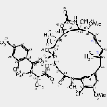 COc1cc2cc(c1Cl)N(C)C(=O)C[C@H](OC(=O)[C@H](C)N(C)C(=O)c1ccc([N+](=O)[O-])cc1C(F)(F)F)[C@]1(C)O[C@H]1[C@H](C)[C@@H]1C[C@@](O)(NC(=O)O1)[C@H](OC)/C=C/C=C(\C)C2